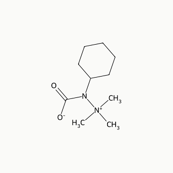 C[N+](C)(C)N(C(=O)[O-])C1CCCCC1